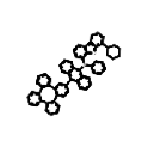 c1ccc(N(c2c3ccccc3c(-c3ccc4c(c3)-c3ccccc3-c3ccccc3-c3ccccc3-4)c3ccccc23)c2cccc3c2oc2c(C4CCCCC4)cccc23)cc1